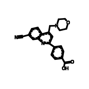 N#Cc1ccc2c(CN3CCOCC3)cc(-c3ccc(C(=O)O)cc3)nc2c1